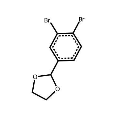 Brc1ccc(C2OCCO2)cc1Br